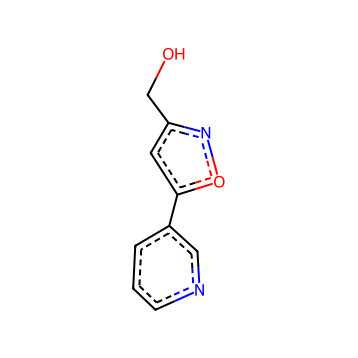 OCc1cc(-c2cccnc2)on1